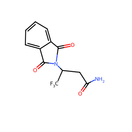 NC(=O)CC(N1C(=O)c2ccccc2C1=O)C(F)(F)F